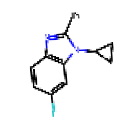 CC(C)c1nc2ccc(F)cc2n1C1CC1